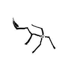 CC[N+](CC)(CC)C(C)CC=S